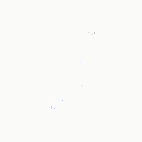 CCOC(=O)Cc1cccc(N2CCN(c3ccc(N4CCNS4(=O)=O)cc3F)CC2)c1